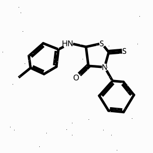 Cc1ccc(NC2SC(=S)N(c3ccccc3)C2=O)cc1